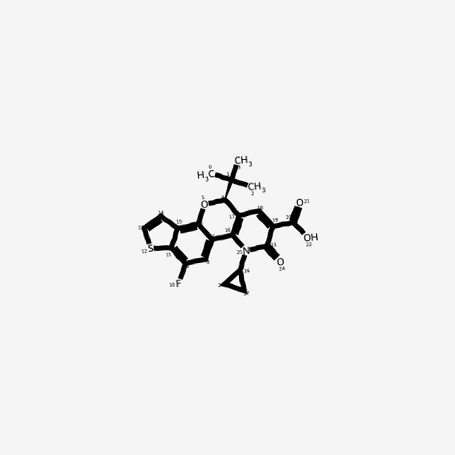 CC(C)(C)[C@@H]1Oc2c(cc(F)c3sccc23)-c2c1cc(C(=O)O)c(=O)n2C1CC1